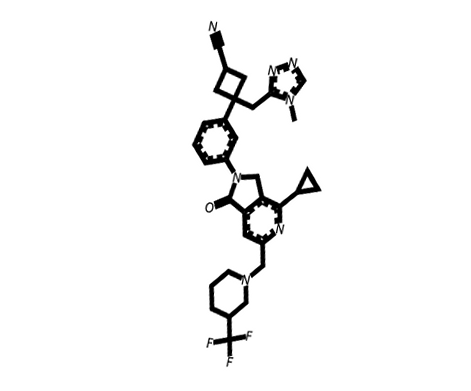 Cn1cnnc1CC1(c2cccc(N3Cc4c(cc(CN5CCCC(C(F)(F)F)C5)nc4C4CC4)C3=O)c2)CC(C#N)C1